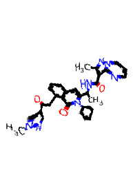 Cc1nn2cccnc2c1C(=O)NC(C)c1cc2cccc(CC(=O)c3cnn(C)c3)c2c(=O)n1-c1ccccc1